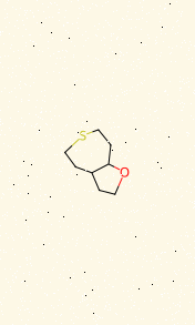 C1CC2CCSCCC2O1